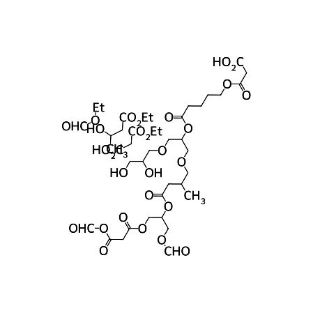 CC(COCC(COCC(O)CO)OC(=O)CCCCOC(=O)CC(=O)O)CC(=O)OC(COC=O)COC(=O)CC(=O)OC=O.CCOC(=O)CC(=O)O.CCOC(=O)CC(C)O.CCOC=O